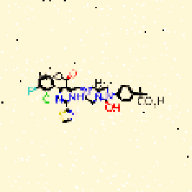 COC(=O)C1=C(CN2CCN3C(O)N(c4ccc(C(C)(C)C(=O)O)cc4)C[C@@H]3C2)NC(c2nccs2)=N[C@H]1c1cccc(F)c1Cl